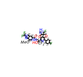 COc1cc(C(=O)NCC(O)(c2cc3c(c(-c4ccc(F)cc4)n2)OCC3(CF)C(N)=O)C(F)(F)F)cc2cn(C(F)F)nc12